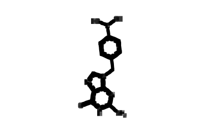 Nc1nc2c(ncn2Cc2ccc(B(O)O)cc2)c(=O)[nH]1